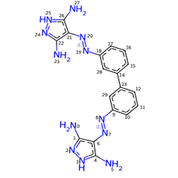 Nc1n[nH]c(N)c1/N=N/c1cccc(-c2cccc(/N=N/c3c(N)n[nH]c3N)c2)c1